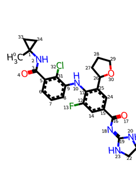 CC1(NC(=O)c2cccc(Nc3c(F)cc(C(=O)N=C4NCCN4)cc3C3CCCO3)c2Cl)CC1